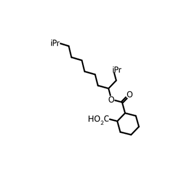 CC(C)CCCCCCC(CC(C)C)OC(=O)C1CCCCC1C(=O)O